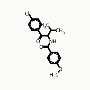 COc1ccc(C(=O)NC(C(=O)c2ccc(Cl)cc2)C(C)C)cc1